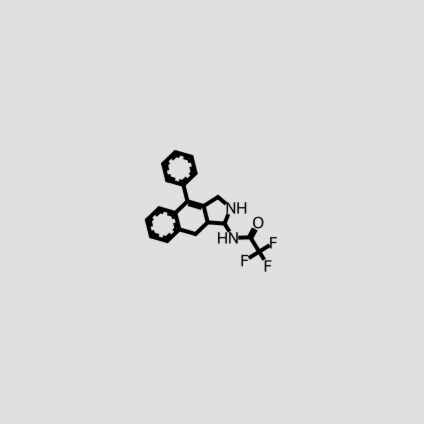 O=C(NC1NCC2=C(c3ccccc3)c3ccccc3CC21)C(F)(F)F